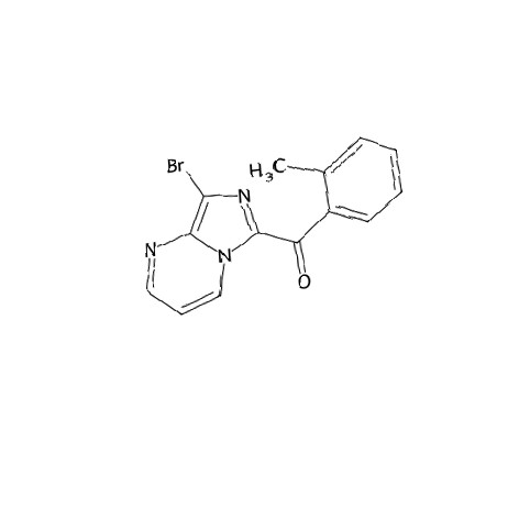 Cc1ccccc1C(=O)c1nc(Br)c2ncccn12